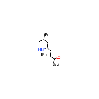 CC(C)C(C)CC(CCC(=O)C(C)(C)C)NC(C)(C)C